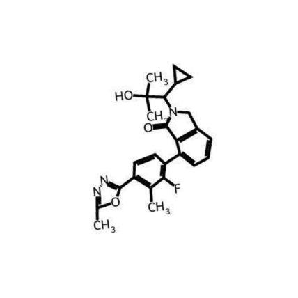 Cc1nnc(-c2ccc(-c3cccc4c3C(=O)N(C(C3CC3)C(C)(C)O)C4)c(F)c2C)o1